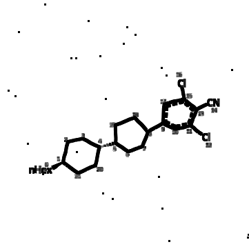 CCCCCC[C@H]1CC[C@H](C2CCC(c3cc(Cl)c(C#N)c(Cl)c3)CC2)CC1